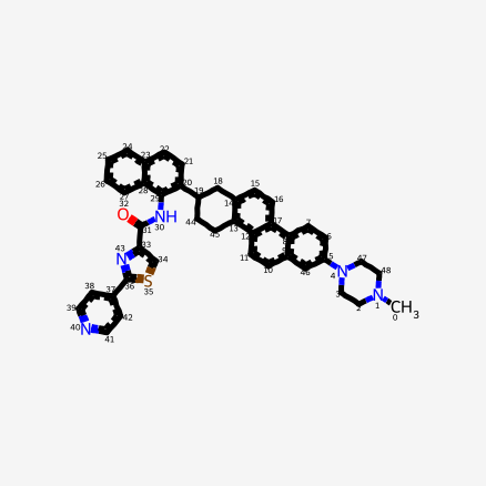 CN1CCN(c2ccc3c(ccc4c5c(ccc43)CC(c3ccc4ccccc4c3NC(=O)c3csc(-c4ccncc4)n3)CC5)c2)CC1